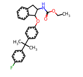 CCOC(=O)NC1Cc2ccccc2C1Oc1ccc(C(C)(C)c2ccc(F)cc2)cc1